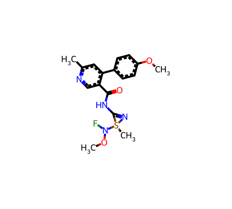 COc1ccc(-c2cc(C)ncc2C(=O)NC2=NS2(C)N(F)OC)cc1